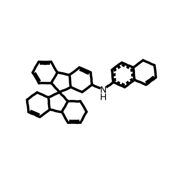 C1=CC2C3C=CC(Nc4ccc5c(c4)C=CCC5)CC3C3(C2C=C1)C1CCC=CC1C1C=CCCC13